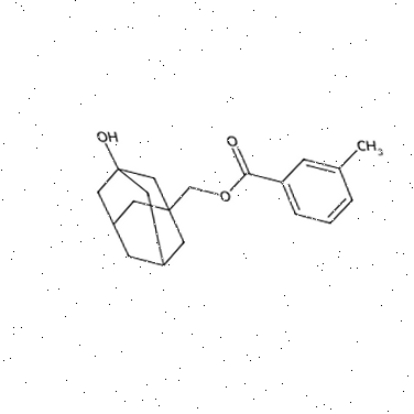 Cc1cccc(C(=O)OCC23CC4CC(CC(O)(C4)C2)C3)c1